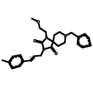 COCCN1C(=O)N(C/C=C/c2ccc(C)cc2)C(=O)C12CCN(Cc1ccccc1)CC2